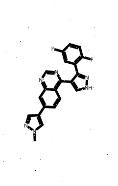 Cn1cc(-c2ccc3c(-c4c[nH]nc4-c4cc(F)ccc4F)ncnc3c2)cn1